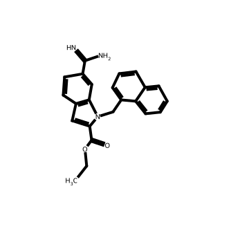 CCOC(=O)c1cc2ccc(C(=N)N)cc2n1Cc1cccc2ccccc12